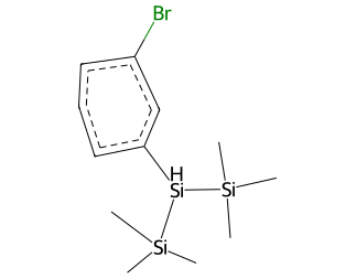 C[Si](C)(C)[SiH](c1cccc(Br)c1)[Si](C)(C)C